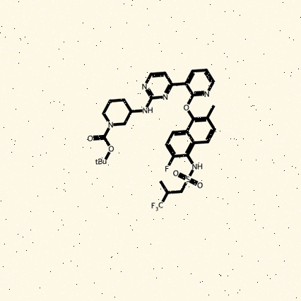 Cc1ccc2c(NS(=O)(=O)CC(C)C(F)(F)F)c(F)ccc2c1Oc1ncccc1-c1ccnc(NC2CCCN(C(=O)OC(C)(C)C)C2)n1